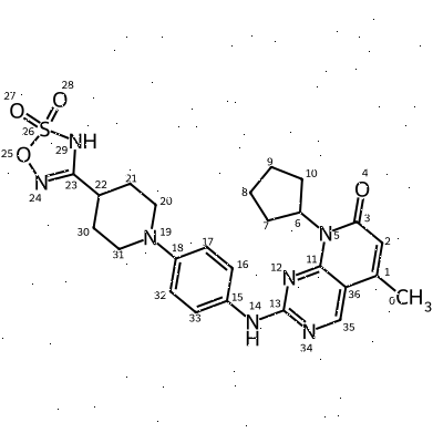 Cc1cc(=O)n(C2CCCC2)c2nc(Nc3ccc(N4CCC(C5=NOS(=O)(=O)N5)CC4)cc3)ncc12